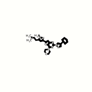 CN(C)CCc1cc(-c2cc3nc(-n4cc(-c5ccccc5)cn4)nc(N4CCOCC4)c3o2)nn1C